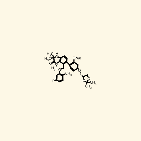 COc1cc(OCC2COC(C)(C)O2)ccc1-c1ccc2c(c1COc1cc(F)ccc1C)N(C)C(=O)C(C)(C)N2